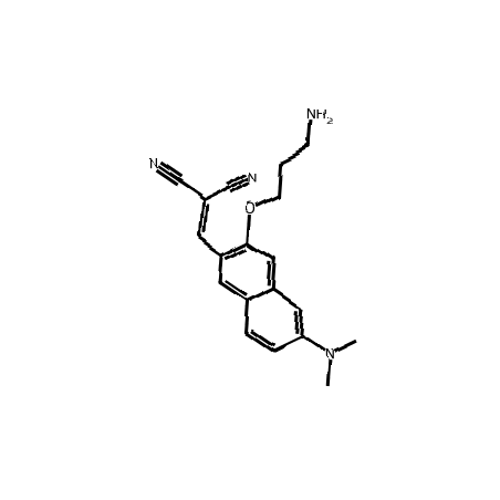 CN(C)c1ccc2cc(C=C(C#N)C#N)c(OCCCN)cc2c1